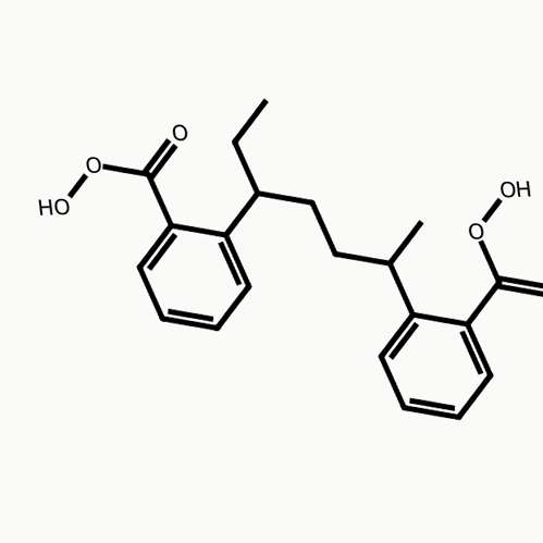 CCC(CCC(C)c1ccccc1C(=O)OO)c1ccccc1C(=O)OO